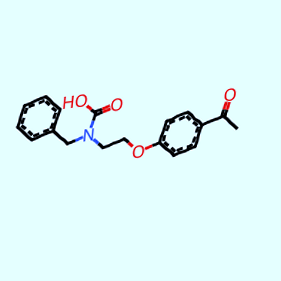 CC(=O)c1ccc(OCCN(Cc2ccccc2)C(=O)O)cc1